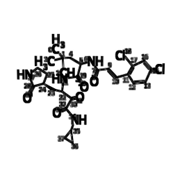 CC(C)(C)CC(NC(=O)/C=C/c1ccc(Cl)cc1Cl)C(=O)NC(C[C@@H]1CCNC1=O)C(=O)C(=O)NC1CC1